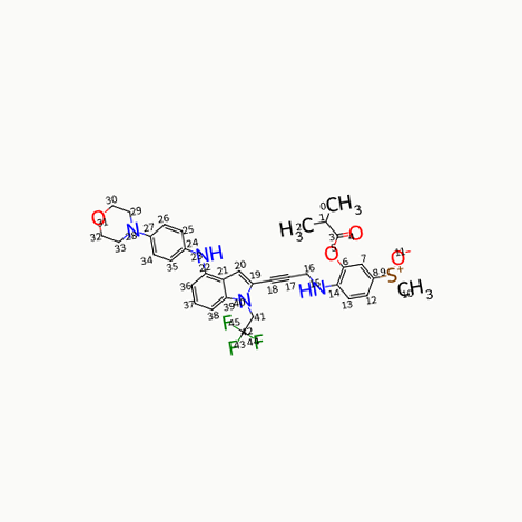 CC(C)C(=O)Oc1cc([S+](C)[O-])ccc1NCC#Cc1cc2c(Nc3ccc(N4CCOCC4)cc3)cccc2n1CC(F)(F)F